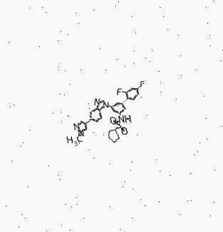 Cn1cc(-c2ccc3c(c2)ncn3-c2cc(NS(=O)(=O)C3CCCC3)cc(-c3ccc(F)cc3F)c2)cn1